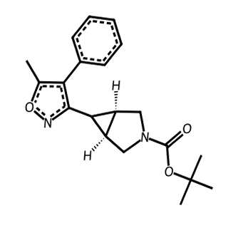 Cc1onc(C2[C@H]3CN(C(=O)OC(C)(C)C)C[C@@H]23)c1-c1ccccc1